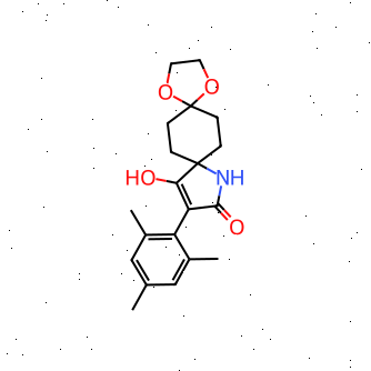 Cc1cc(C)c(C2=C(O)C3(CCC4(CC3)OCCO4)NC2=O)c(C)c1